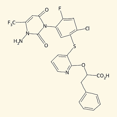 Nn1c(C(F)(F)F)cc(=O)n(-c2cc(Sc3cccnc3OC(Cc3ccccc3)C(=O)O)c(Cl)cc2F)c1=O